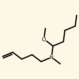 C=CCCCN(C)C(CCCC)OC